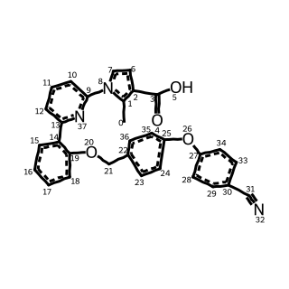 Cc1c(C(=O)O)ccn1-c1cccc(-c2ccccc2OCc2ccc(Oc3ccc(C#N)cc3)cc2)n1